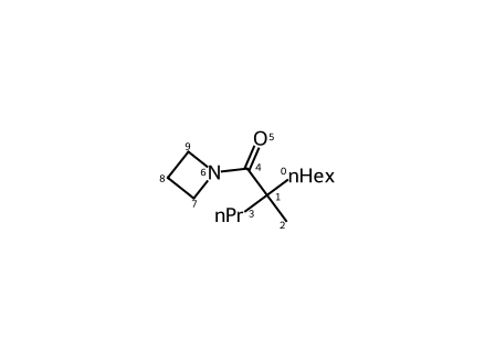 CCCCCCC(C)(CCC)C(=O)N1CCC1